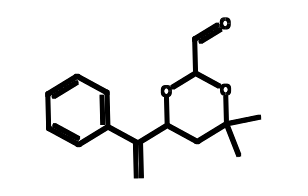 C=C(c1ccccc1)C1CC(C)(C)OC(C=O)O1